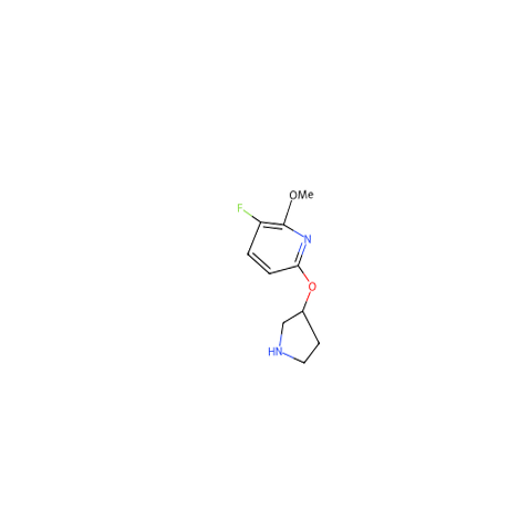 COc1nc(OC2CCNC2)ccc1F